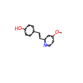 COc1ccnc(C=Cc2ccc(O)cc2)c1